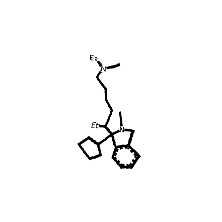 CCC(CCCCN(C)CC)C1(C2CCCC2)c2ccccc2CN1C